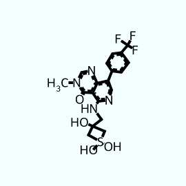 Cn1cnc2c(-c3ccc(C(F)(F)F)cc3)cnc(NCC3(O)CS(O)(O)C3)c2c1=O